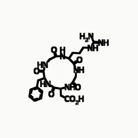 N=C(N)NCCCC1NC(=O)CNC(=O)C(Cc2ccccc2)NC(=O)C(CC(=O)O)NC(=O)CNC1=O